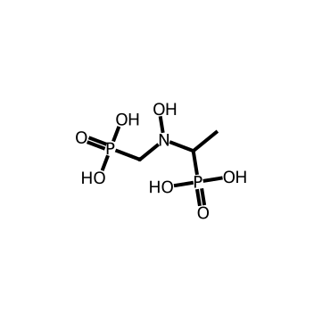 CC(N(O)CP(=O)(O)O)P(=O)(O)O